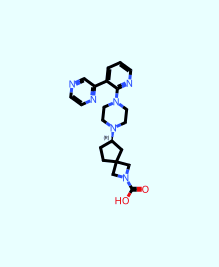 O=C(O)N1CC2(CC[C@@H](N3CCN(c4ncccc4-c4cnccn4)CC3)C2)C1